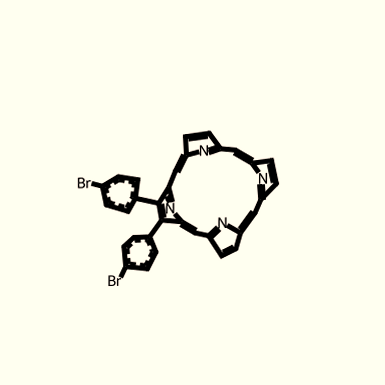 Brc1ccc(C2=C(c3ccc(Br)cc3)C3=NC2=CC2=NC(=CC4=NC(=CC5=NC(=C3)C=C5)C=C4)C=C2)cc1